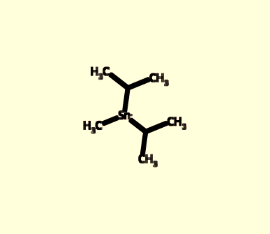 C[CH](C)[Sn]([CH3])[CH](C)C